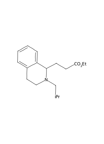 CCOC(=O)CCC1c2ccccc2CCN1CC(C)C